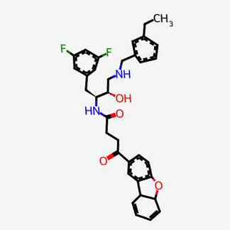 CCc1cccc(CNC[C@@H](O)[C@H](Cc2cc(F)cc(F)c2)NC(=O)CCC(=O)c2ccc3c(c2)C2C=CC=CC2O3)c1